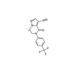 C#Cc1cnn2c1C(=O)N(c1ccc(C(F)(F)F)cc1)C[C@@H]2C